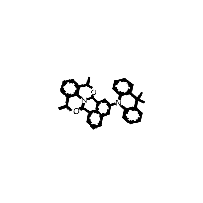 CC(C)c1cccc(C(C)C)c1N1C(=O)c2cccc3cc(N4c5ccccc5C(C)(C)c5ccccc54)cc(c23)C1=O